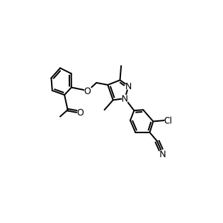 CC(=O)c1ccccc1OCc1c(C)nn(-c2ccc(C#N)c(Cl)c2)c1C